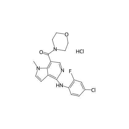 Cl.Cn1ccc2c(Nc3ccc(Cl)cc3F)ncc(C(=O)N3CCOCC3)c21